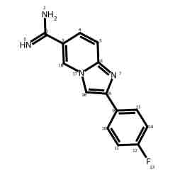 N=C(N)c1ccc2nc(-c3ccc(F)cc3)cn2c1